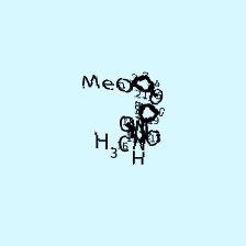 COc1cccc(Oc2ccc(N3C(=O)N[C@H](C)C3=O)cc2)c1